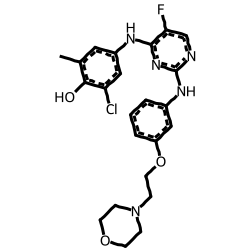 Cc1cc(Nc2nc(Nc3cccc(OCCN4CCOCC4)c3)ncc2F)cc(Cl)c1O